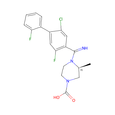 C[C@H]1CN(C(=O)O)CCN1C(=N)c1cc(Cl)c(-c2ccccc2F)cc1F